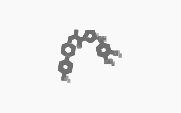 CC(CN1CCN(c2ccc(C(F)(F)F)cc2)CC1)C(=O)N1CC[C@H](Nc2ccc([N+](=O)[O-])c(C(F)(F)F)c2)C1